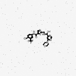 O=C(Nc1ccc(Cl)c(C(F)(F)F)c1)c1cnc(CNC(O)c2cc(N3CCOCC3)ncn2)s1